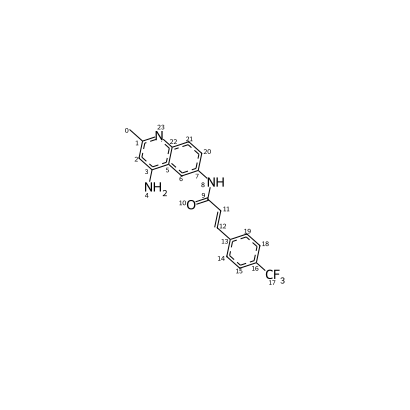 Cc1cc(N)c2cc(NC(=O)/C=C/c3ccc(C(F)(F)F)cc3)ccc2n1